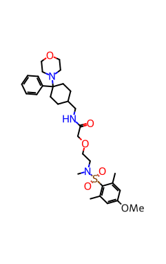 COc1cc(C)c(S(=O)(=O)N(C)CCOCC(=O)NCC2CCC(c3ccccc3)(N3CCOCC3)CC2)c(C)c1